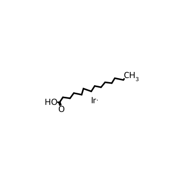 CCCCCCCCCCCCCC(=O)O.[Ir]